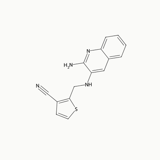 N#Cc1ccsc1CNc1cc2ccccc2nc1N